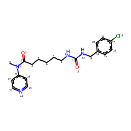 CN(C(=O)CCCCCNC(=O)NCc1ccc(Cl)cc1)c1ccncc1